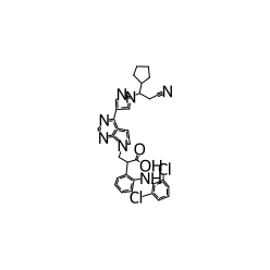 N#CCC(C1CCCC1)n1cc(-c2ncnc3c2ccn3CC(C(=O)O)c2ccccc2Nc2c(Cl)cccc2Cl)cn1